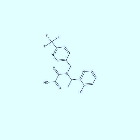 CC(c1ncccc1F)N(Cc1ccc(C(F)(F)F)nc1)C(=O)C(=O)O